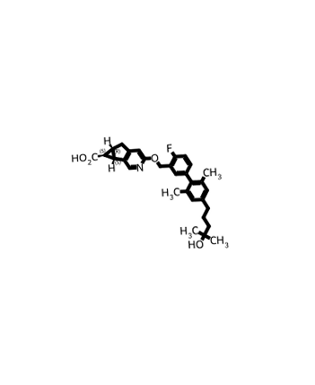 Cc1cc(CCCC(C)(C)O)cc(C)c1-c1ccc(F)c(COc2cc3c(cn2)[C@H]2[C@@H](C3)[C@@H]2C(=O)O)c1